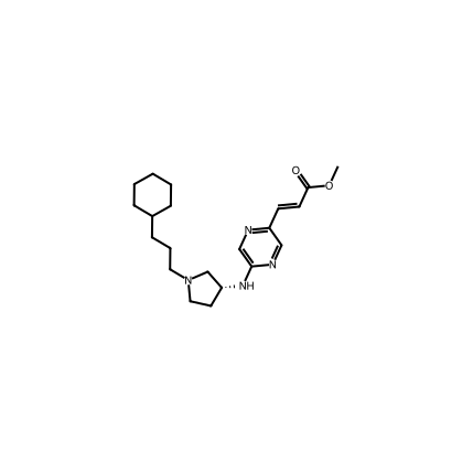 COC(=O)/C=C/c1cnc(N[C@@H]2CCN(CCCC3CCCCC3)C2)cn1